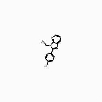 CC(=O)Cn1c(-c2ccc(Cl)cc2)nc2cccnc21